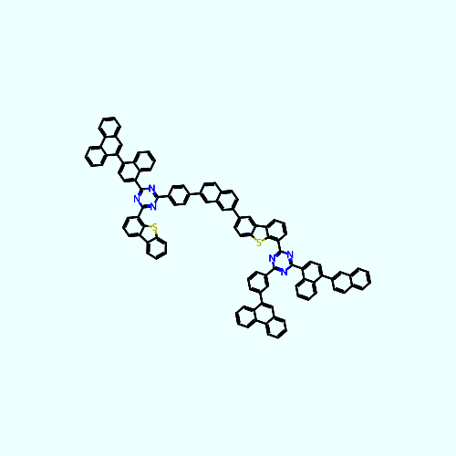 c1cc(-c2nc(-c3ccc(-c4ccc5ccccc5c4)c4ccccc34)nc(-c3cccc4c3sc3ccc(-c5ccc6ccc(-c7ccc(-c8nc(-c9ccc(-c%10cc%11ccccc%11c%11ccccc%10%11)c%10ccccc9%10)nc(-c9cccc%10c9sc9ccccc9%10)n8)cc7)cc6c5)cc34)n2)cc(-c2cc3ccccc3c3ccccc23)c1